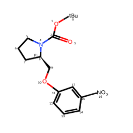 CC(C)(C)OC(=O)N1CCC[C@@H]1COc1cccc([N+](=O)[O-])c1